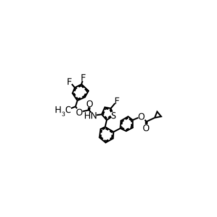 CC(OC(=O)Nc1cc(F)sc1-c1ccccc1-c1ccc(OC(=O)C2CC2)cc1)c1ccc(F)c(F)c1